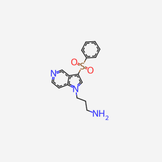 NCCCn1cc(S(=O)(=O)c2ccccc2)c2cnccc21